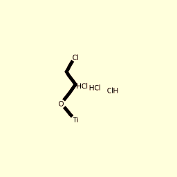 Cl.Cl.Cl.ClCC[O][Ti]